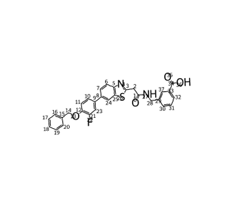 O=C(Cc1nc2ccc(-c3ccc(OCc4ccccc4)c(F)c3)cc2s1)NCc1cccc(C(=O)O)c1